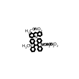 C[n+]1c2ccccc2c(-c2c3ccccc3[n+](C)c3ccccc23)c2ccccc21.Cc1cccc2nc3ccccc3cc12.O=[N+]([O-])O.O=[N+]([O-])[O-].O=[N+]([O-])[O-]